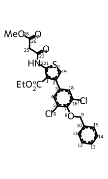 CCOC(=O)c1c(-c2cc(Cl)c(OCc3ccccc3)c(Cl)c2)csc1NC(=O)CC(=O)OC